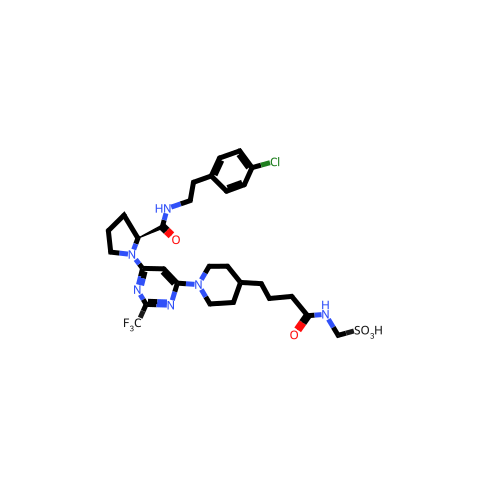 O=C(CCCC1CCN(c2cc(N3CCC[C@H]3C(=O)NCCc3ccc(Cl)cc3)nc(C(F)(F)F)n2)CC1)NCS(=O)(=O)O